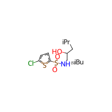 CC[C@H](C)C(NS(=O)(=O)c1ccc(Cl)s1)C(O)CC(C)C